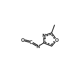 Cc1nc(N=C=O)co1